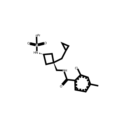 CCCS(=O)(=O)N[C@H]1C[C@@](CNC(=O)c2ccc(C)cc2Cl)(CC2CC2)C1